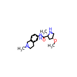 CO[C@H]1CN[C@](C)(C(=O)Nc2ccc3c(c2)CCN(C)C3)C1